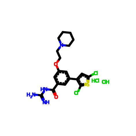 Cl.Cl.N=C(N)NC(=O)c1cc(OCCN2CCCCC2)cc(-c2cc(Cl)sc2Cl)c1